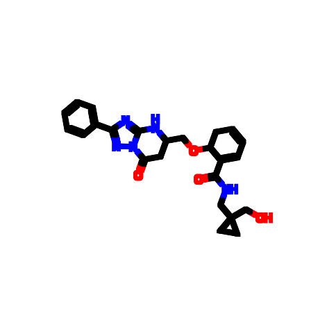 O=C(NCC1(CO)CC1)C1=CC=CCC1OCC1CC(=O)n2nc(-c3ccccc3)nc2N1